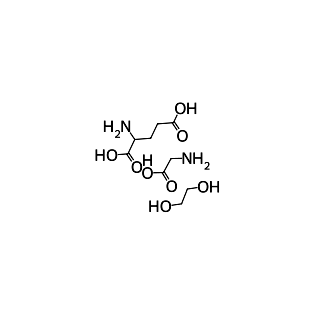 NC(CCC(=O)O)C(=O)O.NCC(=O)O.OCCO